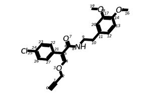 C#CCOC=C(C(=O)NCCc1ccc(OC)c(OC)c1)c1ccc(Cl)cc1